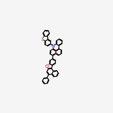 c1ccc(-c2ccccc2N(c2ccc(-c3ccc4c(c3)oc3cc(-c5ccccc5)c5ccccc5c34)cc2)c2ccc3sc4ccccc4c3c2)cc1